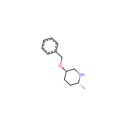 C[C@@H]1CC[C@@H](OCc2ccccc2)CN1